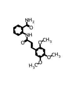 COc1cc(OC)c(OC)cc1C=CC(=O)Nc1ccccc1C(N)=O